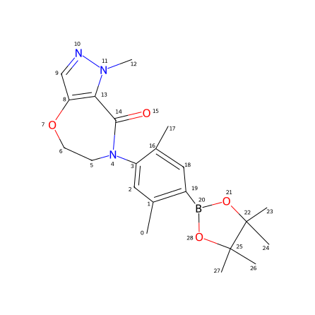 Cc1cc(N2CCOc3cnn(C)c3C2=O)c(C)cc1B1OC(C)(C)C(C)(C)O1